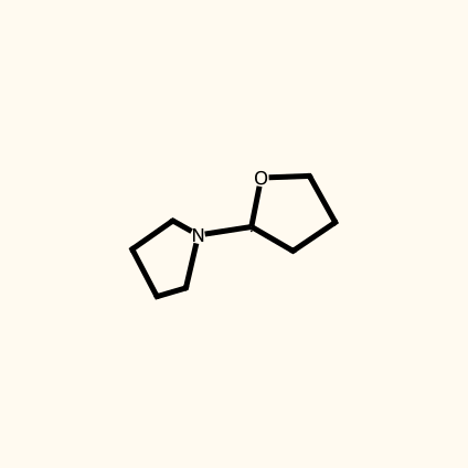 C1CO[C](N2CCCC2)C1